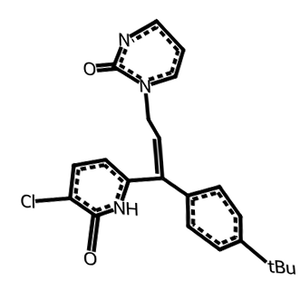 CC(C)(C)c1ccc(C(=CCn2cccnc2=O)c2ccc(Cl)c(=O)[nH]2)cc1